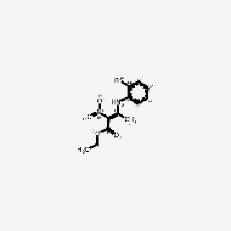 CCOC(=O)C(=C(C)Nc1ccccc1Br)[N+](=O)[O-]